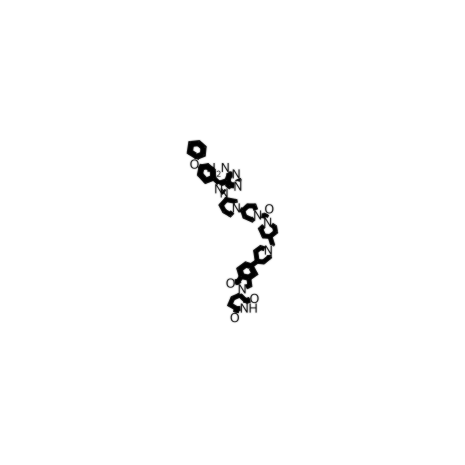 Nc1ncnc2c1c(-c1ccc(Oc3ccccc3)cc1)nn2[C@@H]1CCCN(C2CCN(C(=O)N3CCC(CN4CCC(c5ccc6c(c5)CN(C5CCC(=O)NC5=O)C6=O)CC4)CC3)CC2)C1